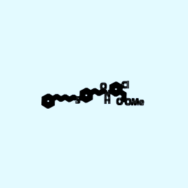 COC(=O)Cc1cc(NC(=O)CCc2ccc(SCCCCCc3ccccc3)cc2)ccc1Cl